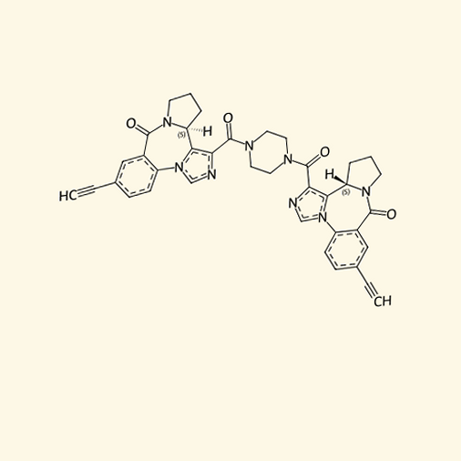 C#Cc1ccc2c(c1)C(=O)N1CCC[C@H]1c1c(C(=O)N3CCN(C(=O)c4ncn5c4[C@@H]4CCCN4C(=O)c4cc(C#C)ccc4-5)CC3)ncn1-2